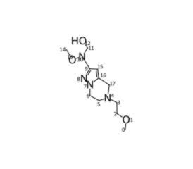 COCCN1CCn2nc(N(CO)OC)cc2C1